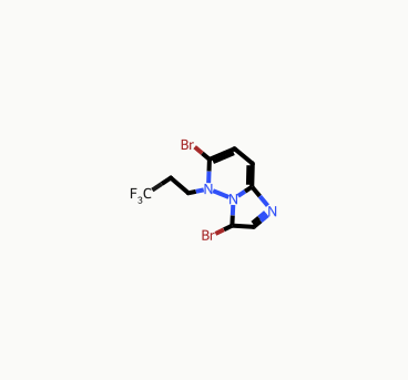 FC(F)(F)CCN1C(Br)=CC=C2N=CC(Br)N21